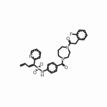 C=C/C=C(\c1ccccn1)S(=O)(=O)Nc1ccc(C(=O)N2CCCN(C(=O)Cc3ccccc3F)CC2)cc1